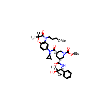 COCCCN1C(=O)C(C)(C)Oc2ccc(N(C(=O)[C@@H]3C[C@H](C(=O)N[C@H](c4ccccc4)C(C)(C)O)CN(C(=O)OC(C)(C)C)C3)C3CC3)cc21